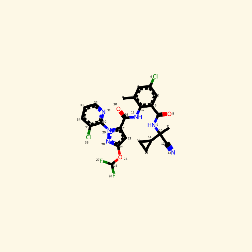 Cc1cc(Cl)cc(C(=O)NC(C)(C#N)C2CC2)c1NC(=O)c1cc(OC(F)F)nn1-c1ncccc1Cl